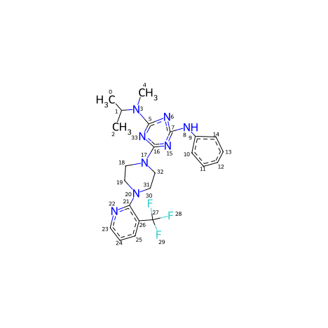 CC(C)N(C)c1nc(Nc2ccccc2)nc(N2CCN(c3ncccc3C(F)(F)F)CC2)n1